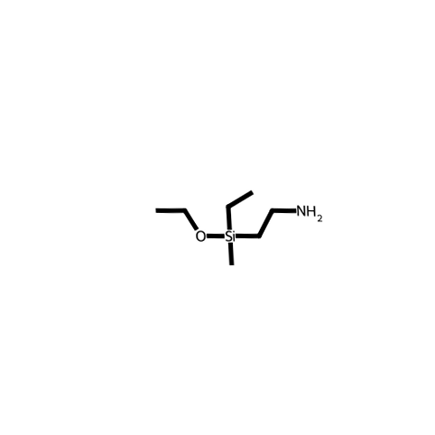 CCO[Si](C)(CC)CCN